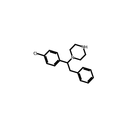 Clc1ccc(C(Cc2ccccc2)N2CCNCC2)cc1